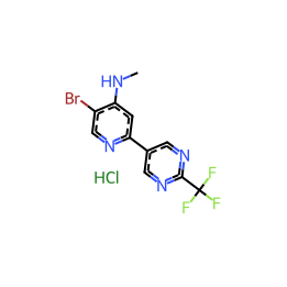 CNc1cc(-c2cnc(C(F)(F)F)nc2)ncc1Br.Cl